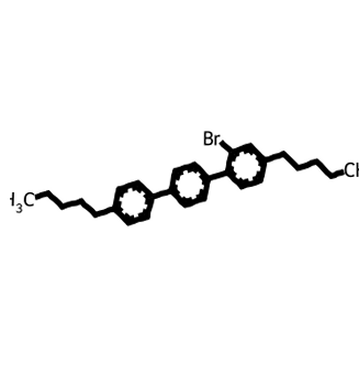 CCCCCc1ccc(-c2ccc(-c3ccc(CCCCC)cc3Br)cc2)cc1